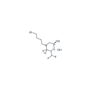 CC(C)CCCCN1C[C@@H](O)[C@H](O)C(C(F)F)C12CC2